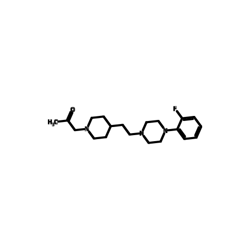 CC(=O)CN1CCC(CCN2CCN(c3ccccc3F)CC2)CC1